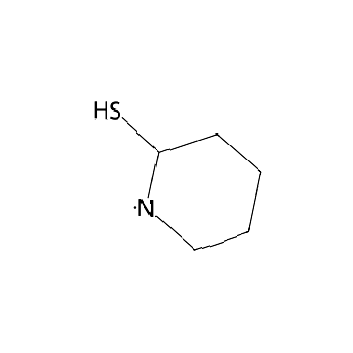 SC1CCCC[N]1